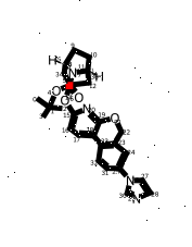 CC(C)(C)OC(=O)N1[C@@H]2CC[C@H]1CC(Oc1ccc3c(n1)OCc1cc(-n4ccnc4)ccc1-3)C2